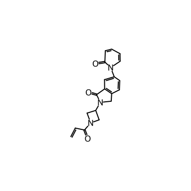 C=CC(=O)N1CC(N2Cc3ccc(-n4ccccc4=O)cc3C2=O)C1